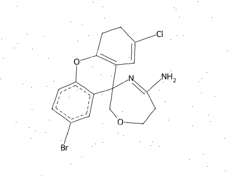 NC1=NC2(COCC1)C1=C(CCC(Cl)=C1)Oc1ccc(Br)cc12